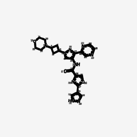 O=C(Nc1cn(C2CC(N3CCOCC3)C2)nc1-c1cnccn1)c1coc(-c2cn[nH]c2)n1